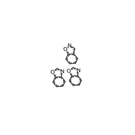 c1ccc2ocnc2c1.c1ccc2ocnc2c1.c1ccc2oncc2c1